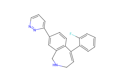 Fc1ccccc1C1=CCNCc2cc(-c3cccnn3)ccc21